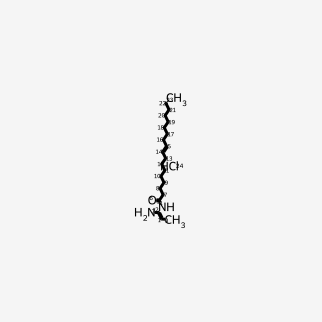 CC=C(N)NC(=O)CCCCCCCC=CCCCCCCCC.Cl